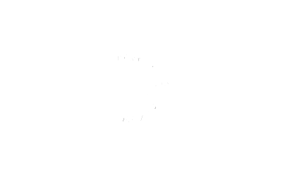 CCCCCCCCOCC(O)COCCCCCCCC